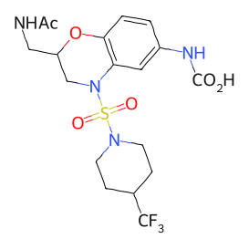 CC(=O)NCC1CN(S(=O)(=O)N2CCC(C(F)(F)F)CC2)c2cc(NC(=O)O)ccc2O1